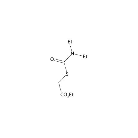 CCOC(=O)CSC(=O)N(CC)CC